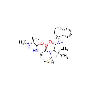 CNC(C)C(=O)N[C@H]1CCS[C@H]2CC(C)(C)C(C(=O)N[C@@H]3CCCc4ccccc43)N2C1=O